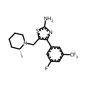 C[C@@H]1CCCCN1Cc1sc(N)nc1-c1cc(F)cc(C(F)(F)F)c1